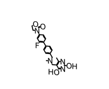 Cc1nc(O)nc(O)c1CN(C)Cc1ccc(-c2ccc(N3CCOC3=O)cc2F)cc1